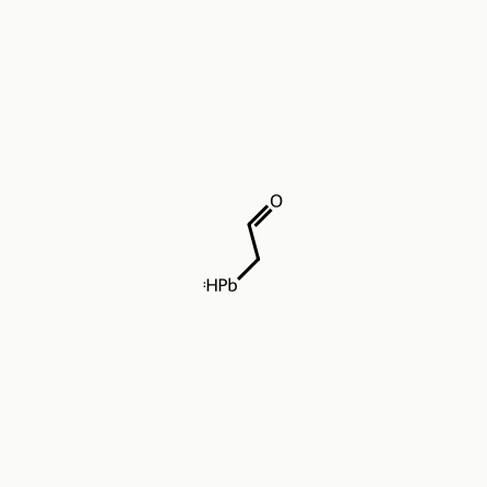 O=C[CH2][PbH]